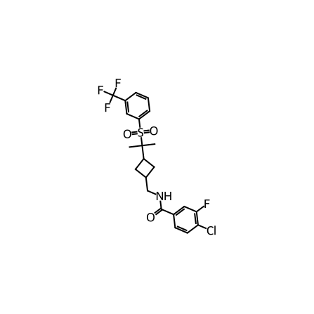 CC(C)(C1CC(CNC(=O)c2ccc(Cl)c(F)c2)C1)S(=O)(=O)c1cccc(C(F)(F)F)c1